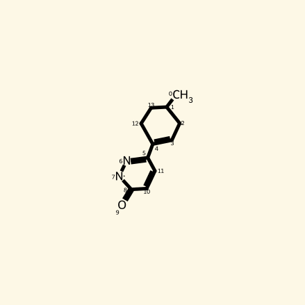 CC1CC=C(C2=N[N]C(=O)C=C2)CC1